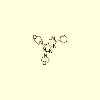 c1ccc(-c2ncc3c(N4CCOCC4)nc(N4CCOCC4)nc3n2)cc1